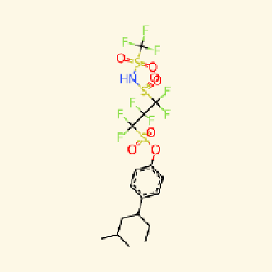 CCC(CC(C)C)c1ccc(OS(=O)(=O)C(F)(F)C(F)(F)C(F)(F)S(=O)(=O)NS(=O)(=O)C(F)(F)F)cc1